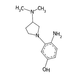 CN(C)C1CCN(c2cc(O)ccc2N)C1